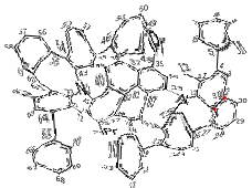 Cc1ccc(-c2ccccc2)c(C)c1N(c1cc(-c2ccccc2)ccc1-c1ccccc1)c1cc(C(C)C)c2ccc3c(N4c5cc(-c6ccccc6)ccc5-c5ccccc5-c5ccc(-c6ccccc6)c(C)c54)cc(C(C)C)c4ccc1c2c43